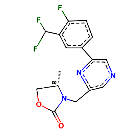 C[C@H]1COC(=O)N1Cc1cncc(-c2ccc(F)c(C(F)F)c2)n1